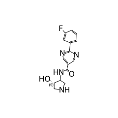 O=C(NC1CNC[C@@H]1O)c1cnc(-c2cccc(F)c2)nc1